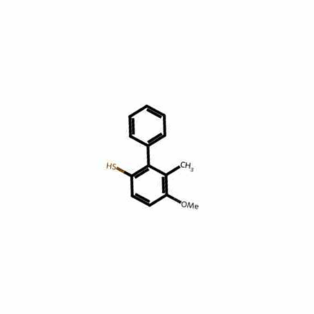 COc1ccc(S)c(-c2ccccc2)c1C